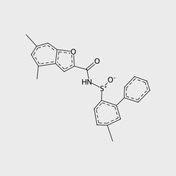 Cc1ccc([S+]([O-])NC(=O)c2cc3c(C)cc(C)cc3o2)c(-c2ccccc2)c1